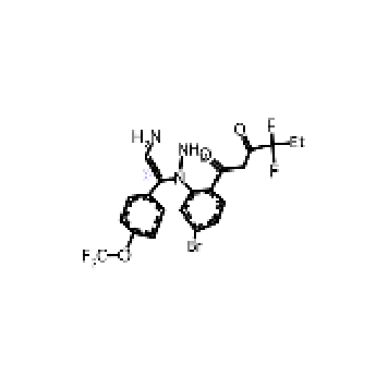 CCC(F)(F)C(=O)CC(=O)c1ccc(Br)cc1N(N)/C(=C\N)c1ccc(OC(F)(F)F)cc1